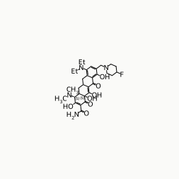 CCN(CC)c1cc(CN2CCC(F)CC2)c(O)c2c1CC1CC3[C@H](N(C)C)C(O)=C(C(N)=O)C(=O)[C@@]3(O)C(O)=C1C2=O